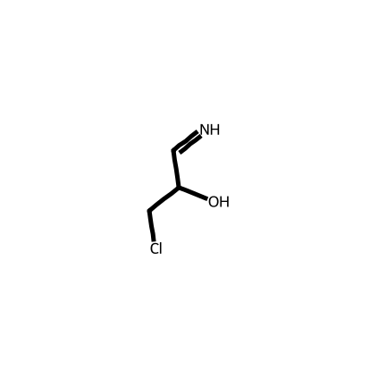 N=CC(O)CCl